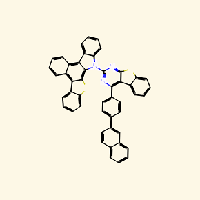 c1ccc2cc(-c3ccc(-c4nc(-n5c6ccccc6c6c7ccccc7c7c8ccccc8sc7c65)nc5sc6ccccc6c45)cc3)ccc2c1